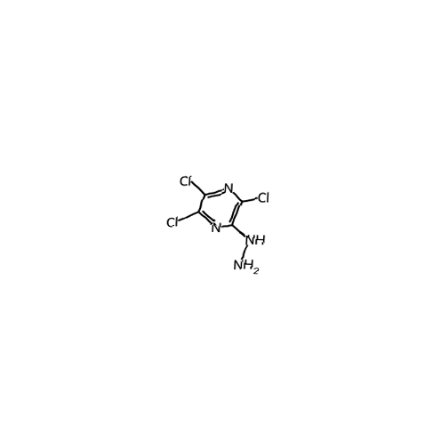 NNc1nc(Cl)c(Cl)nc1Cl